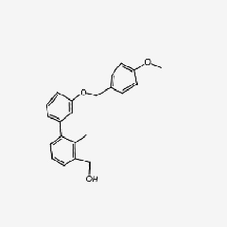 COc1ccc(COc2cccc(-c3cccc(CO)c3C)c2)cc1